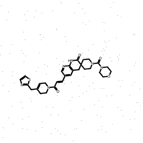 O=C(/C=C/c1cnc2c(c1)CC1(CCN(C(=O)N3CCOCC3)CC1)C(=O)N2)N1CC=C(Cc2nccs2)CC1